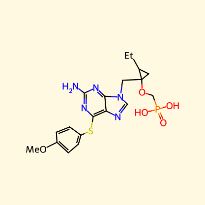 CCC1CC1(Cn1cnc2c(Sc3ccc(OC)cc3)nc(N)nc21)OCP(=O)(O)O